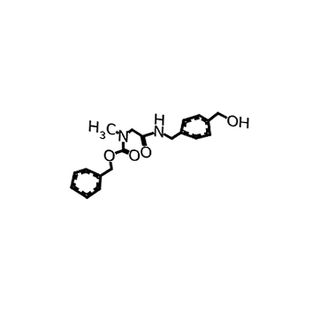 CN(CC(=O)NCc1ccc(CO)cc1)C(=O)OCc1ccccc1